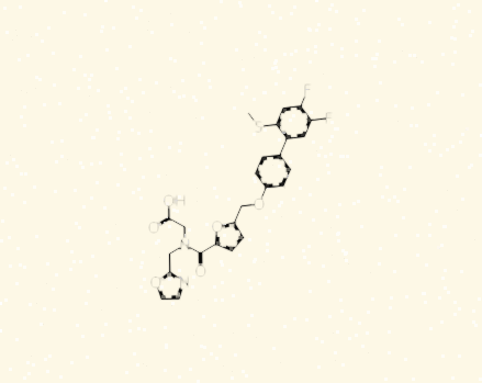 CSc1cc(F)c(F)cc1-c1ccc(OCc2ccc(C(=O)N(CC(=O)O)Cc3ncco3)o2)cc1